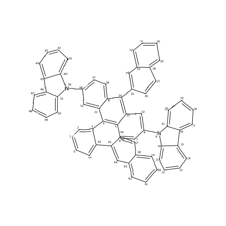 c1ccc(-c2c3ccc(-n4c5ccccc5c5ccccc54)cc3c(-c3ccc4ccccc4c3)c3ccc(-n4c5ccccc5c5ccccc54)cc23)c(-c2ccc3ccccc3c2)c1